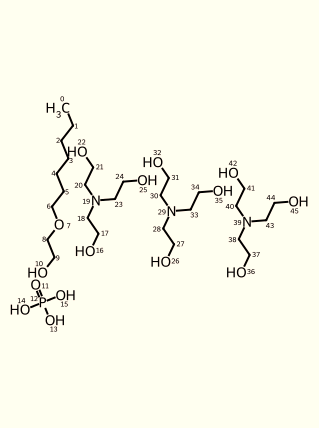 CCCCCCCOCCO.O=P(O)(O)O.OCCN(CCO)CCO.OCCN(CCO)CCO.OCCN(CCO)CCO